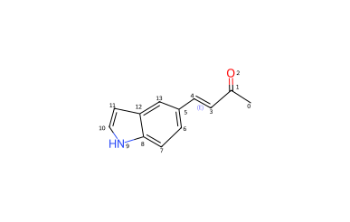 CC(=O)/C=C/c1ccc2[nH]ccc2c1